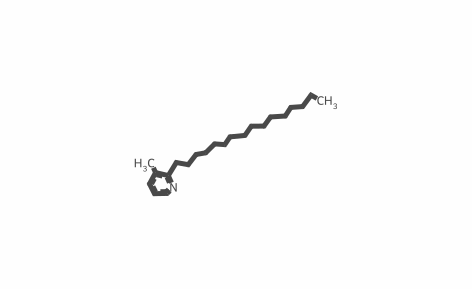 CCCCCCCCCCCCCCCCc1ncccc1C